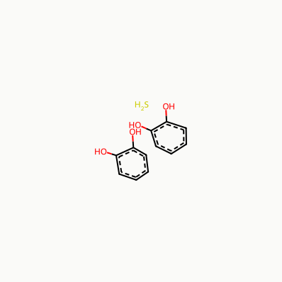 Oc1ccccc1O.Oc1ccccc1O.S